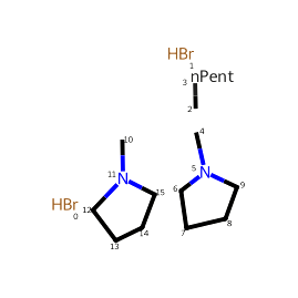 Br.Br.CCCCCC.CN1CCCC1.CN1CCCC1